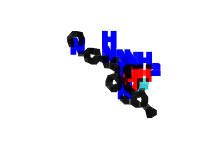 Nc1nc(-c2cccc(-n3ccc4cc(C5CC5)cc(F)c4c3=O)c2CO)c2cc(-c3ccc(CN4CCCCC4)cc3)[nH]c2n1